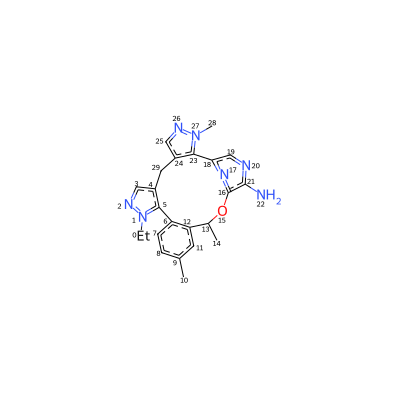 CCn1ncc2c1-c1ccc(C)cc1C(C)Oc1nc(cnc1N)-c1c(cnn1C)C2